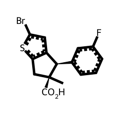 C[C@]1(C(=O)O)Cc2sc(Br)cc2[C@H]1c1cccc(F)c1